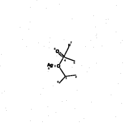 CC(C)OP(C)(=O)F.[Ag]